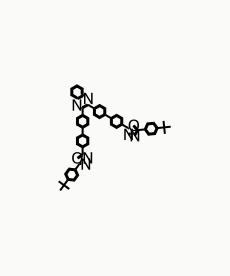 CC(C)(C)c1ccc(-c2nnc(-c3ccc(-c4ccc(-c5nc6ccccc6nc5-c5ccc(-c6ccc(-c7nnc(-c8ccc(C(C)(C)C)cc8)o7)cc6)cc5)cc4)cc3)o2)cc1